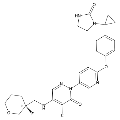 O=C1NCCN1C1(c2ccc(Oc3ccc(-n4ncc(NC[C@@]5(F)CCCOC5)c(Cl)c4=O)cn3)cc2)CC1